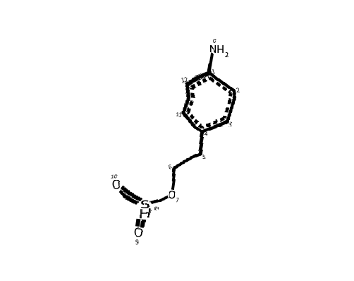 Nc1ccc(CCO[SH](=O)=O)cc1